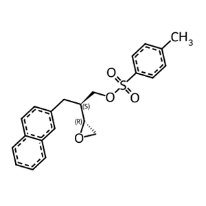 Cc1ccc(S(=O)(=O)OC[C@H](Cc2ccc3ccccc3c2)[C@@H]2CO2)cc1